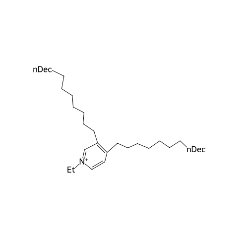 CCCCCCCCCCCCCCCCCc1cc[n+](CC)cc1CCCCCCCCCCCCCCCCC